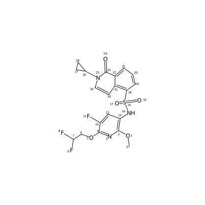 COc1nc(OCC(F)F)c(F)cc1NS(=O)(=O)c1cccc2c(=O)n(C3CC3)ccc12